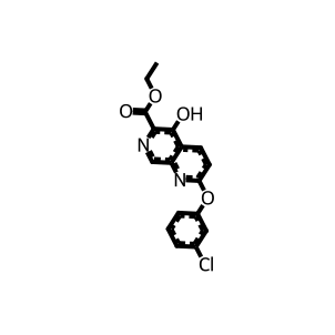 CCOC(=O)c1ncc2nc(Oc3cccc(Cl)c3)ccc2c1O